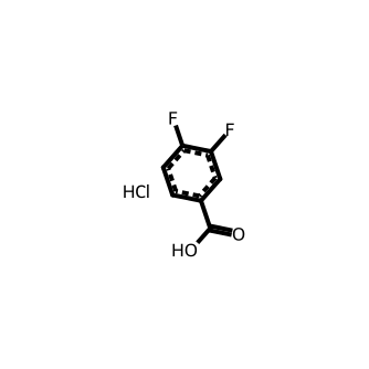 Cl.O=C(O)c1ccc(F)c(F)c1